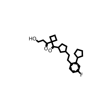 O=C(CCO)C1(C(=O)C2CCC(CCc3ccc(F)cc3C3CCCC3)C2)CCC1